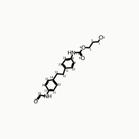 [O]CCCOC(=O)Nc1ccc(CCc2ccc(N[C]=O)cc2)cc1